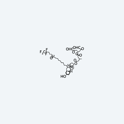 CC(CC(=O)OC(CC(=O)C=O)CC(=O)C=O)CC(=O)O[C@H]1CC[C@H]2[C@@H]3[C@H](CCCCCCCCC[S+]([O-])CCCC(F)(F)C(F)(F)F)Cc4cc(O)ccc4[C@H]3CC[C@]12C